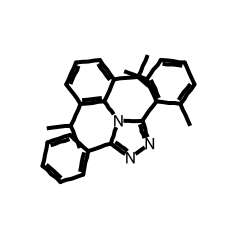 Cc1cccc(C)c1-c1nnc(-c2ccccc2)n1-c1c(C(C)C)cccc1C(C)C